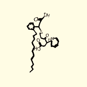 CCCCCCCCCCCCc1ccccc1C(CC(=O)O)SCCC(=O)C(CC(=O)O)C1=CC=CC=CN1